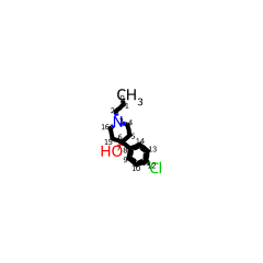 CCCN1CCC(O)(c2ccc(Cl)cc2)CC1